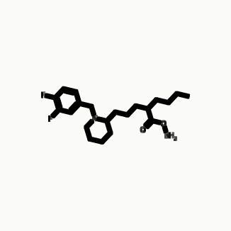 BOC(=O)C(CCCC)CCCC1CCCCN1Cc1ccc(F)c(F)c1